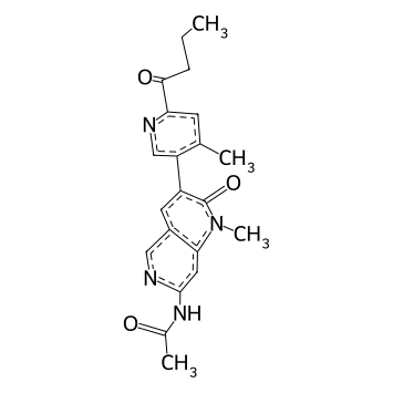 CCCC(=O)c1cc(C)c(-c2cc3cnc(NC(C)=O)cc3n(C)c2=O)cn1